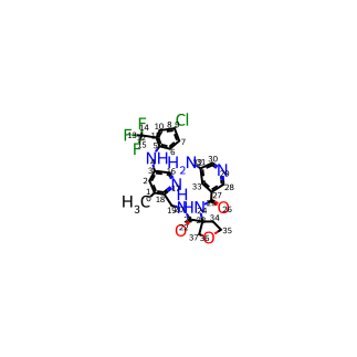 Cc1cc(Nc2ccc(Cl)cc2C(F)(F)F)cnc1CNC(=O)C1(NC(=O)c2cncc(N)c2)CCOC1